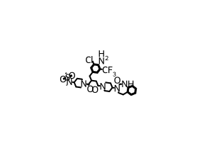 CN(C1CCN(C(=O)C(CC(=O)N2CCC(N3CCc4ccccc4NC3=O)CC2)Cc2cc(Cl)c(N)c(C(F)(F)F)c2)CC1)S(C)(=O)=O